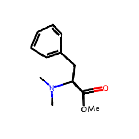 [CH2]OC(=O)C(Cc1ccccc1)N(C)C